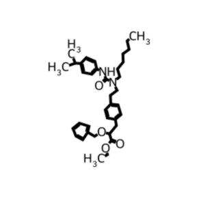 CCCCCCCN(CCc1ccc(CC(OCc2ccccc2)C(=O)OCC)cc1)C(=O)Nc1ccc(C(C)C)cc1